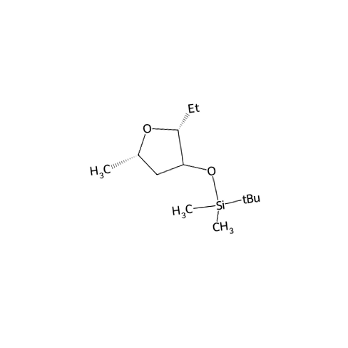 CC[C@H]1O[C@@H](C)CC1O[Si](C)(C)C(C)(C)C